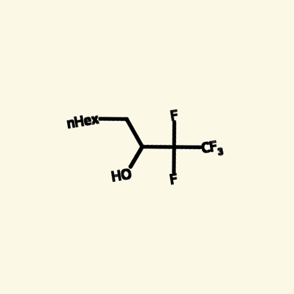 CCCCCCCC(O)C(F)(F)C(F)(F)F